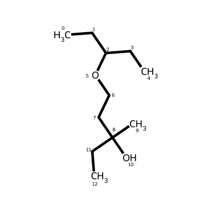 CCC(CC)OCCC(C)(O)CC